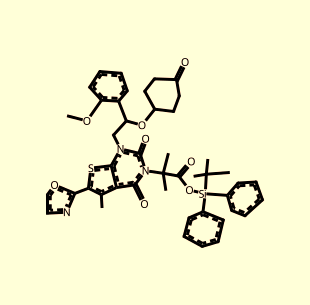 COc1ccccc1C(Cn1c(=O)n(C(C)(C)C(=O)O[Si](c2ccccc2)(c2ccccc2)C(C)(C)C)c(=O)c2c(C)c(-c3ncco3)sc21)OC1CCC(=O)CC1